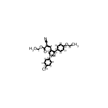 CCOC(=O)/C(C#N)=C\c1cn(-c2ccc(Cl)cc2)nc1-c1ccc(OCC)cc1